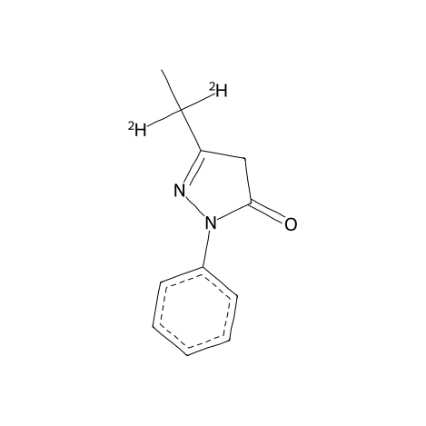 [2H]C([2H])(C)C1=NN(c2ccccc2)C(=O)C1